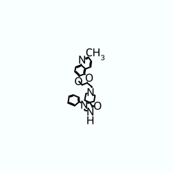 Cc1ccc2c3c(ccc2n1)OCC(CN1CCC2(CC1)C(=O)NCN2c1ccccc1)O3